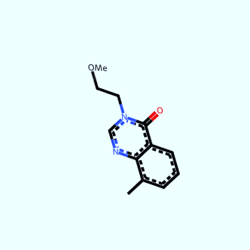 COCCn1cnc2c(C)cccc2c1=O